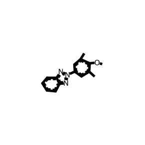 COc1c(C)cc(-n2nc3ccccc3n2)cc1C